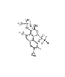 Cc1cc2cc(C3CC3)c(F)cc2c(OS(=O)(=O)C(F)(F)F)c1C(OC(C)(C)C)C(=O)O